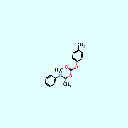 Cc1ccc(OC(=O)OC(C)N(C)c2ccccc2)cc1